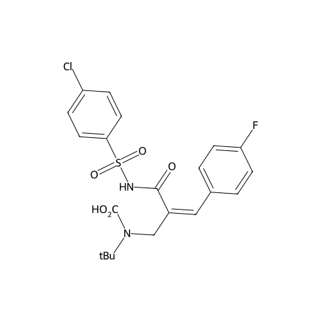 CC(C)(C)N(CC(=Cc1ccc(F)cc1)C(=O)NS(=O)(=O)c1ccc(Cl)cc1)C(=O)O